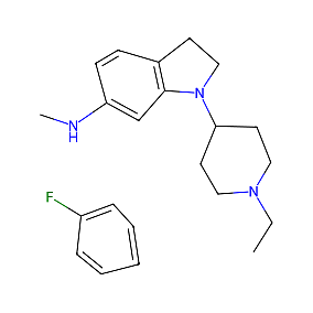 CCN1CCC(N2CCc3ccc(NC)cc32)CC1.Fc1ccccc1